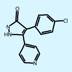 O=C1[N]NC(c2ccncc2)=C1c1ccc(Cl)cc1